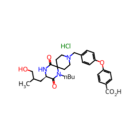 CCCCN1C(=O)[C@@H](CC(C)CO)NC(=O)C12CCN(Cc1ccc(Oc3ccc(C(=O)O)cc3)cc1)CC2.Cl